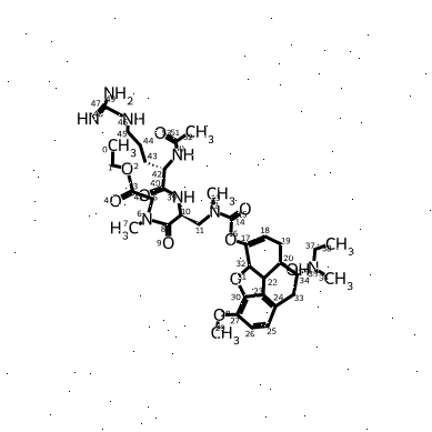 CCOC(=O)CN(C)C(=O)[C@H](CN(C)C(=O)OC1=CCC2(O)C3c4c(ccc(OC)c4OC13)C[C@H]2N(C)CC)NC(=O)[C@H](CCCNC(=N)N)NC(C)=O